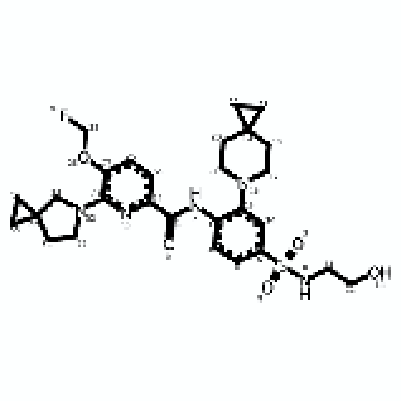 O=C(Nc1ccc(S(=O)(=O)NCCO)cc1N1CCC2(CC1)CC2)c1ccc(OCF)c(N2CCC3(CC3)C2)n1